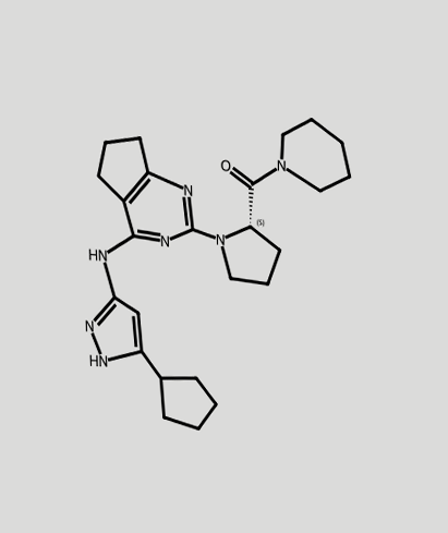 O=C([C@@H]1CCCN1c1nc2c(c(Nc3cc(C4CCCC4)[nH]n3)n1)CCC2)N1CCCCC1